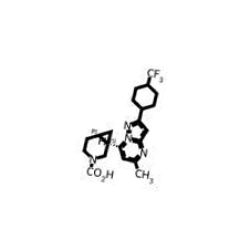 Cc1cc([C@@]23C[C@@H]2CCN(C(=O)O)C3)n2nc(C3CCC(C(F)(F)F)CC3)cc2n1